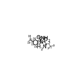 CC(C)C[C@H](N)C(=O)N=S(N)(=O)c1cccc(C(C)C)c1